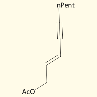 CCCCCC#CC=CCOC(C)=O